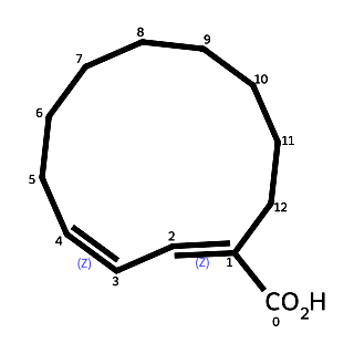 O=C(O)/C1=C\C=C/CCCCCCCC1